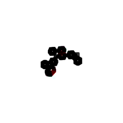 c1ccc(-c2ccccc2N(c2ccc(-c3ccc4oc5ccccc5c4c3)cc2)c2ccc3c(c2)-c2ccccc2C32C3CCC4CC(C3)CC2C4)cc1